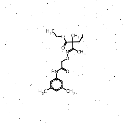 CCOC(=O)C(C)(CI)/C(C)=N/OCC(=O)Nc1cc(C)cc(C)c1